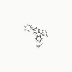 COc1ccc2c(c1)C(C)(C)N/C2=C\C(=O)C1CCCCC1